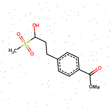 COC(=O)c1ccc(CCC(O)S(C)(=O)=O)cc1